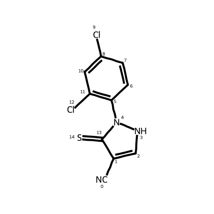 N#Cc1c[nH]n(-c2ccc(Cl)cc2Cl)c1=S